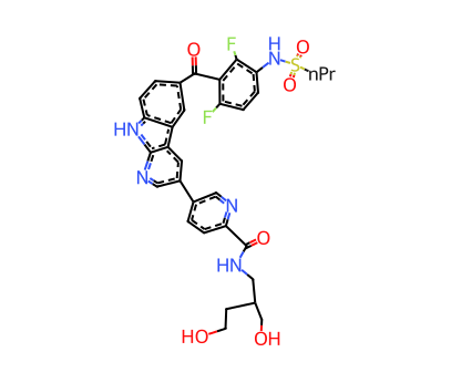 CCCS(=O)(=O)Nc1ccc(F)c(C(=O)c2ccc3[nH]c4ncc(-c5ccc(C(=O)NCC(CO)CCO)nc5)cc4c3c2)c1F